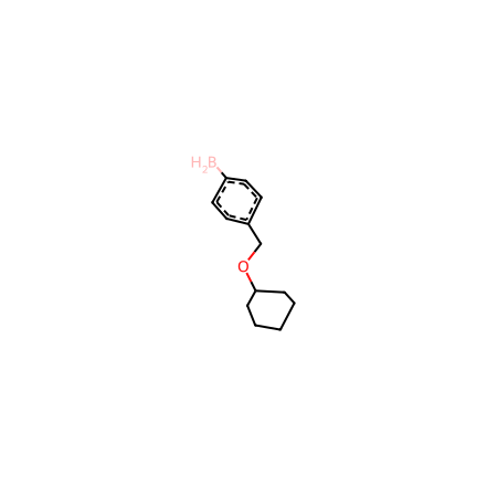 Bc1ccc(COC2CCCCC2)cc1